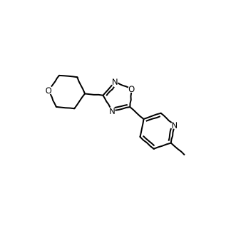 Cc1ccc(-c2nc(C3CCOCC3)no2)cn1